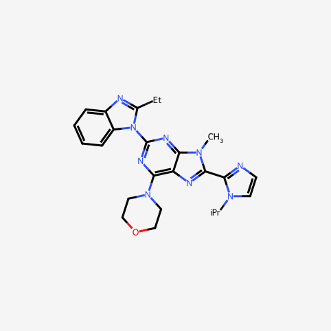 CCc1nc2ccccc2n1-c1nc(N2CCOCC2)c2nc(-c3nccn3C(C)C)n(C)c2n1